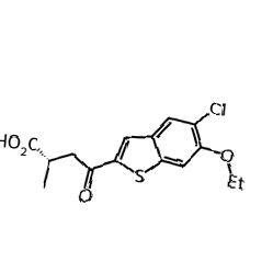 CCOc1cc2sc(C(=O)C[C@H](C)C(=O)O)cc2cc1Cl